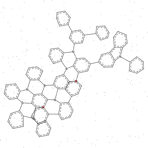 c1ccc(-c2cc(-c3ccccc3)cc(N3c4ccccc4B4c5cc6c(cc5Oc5cc(-c7ccc8c(c7)c7ccccc7n8-c7ccccc7)cc3c54)N(c3c(-c4ccccc4)cccc3-c3ccccc3)c3cc4c5c7c3B6c3ccccc3N7c3ccccc3B5c3ccccc3N4c3ccccc3)c2)cc1